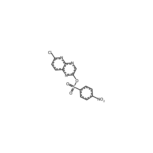 O=[N+]([O-])c1ccc(S(=O)(=O)Oc2cnc3nc(Cl)ccc3n2)cc1